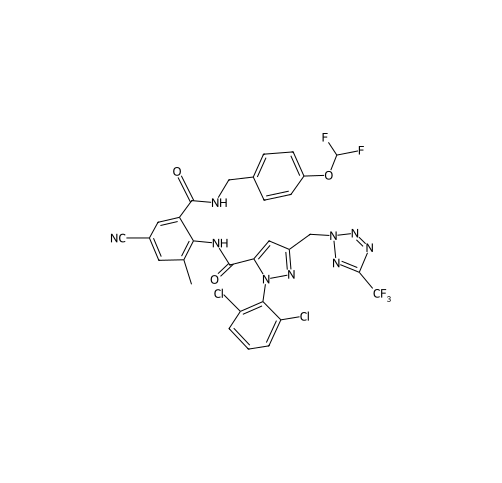 Cc1cc(C#N)cc(C(=O)NCc2ccc(OC(F)F)cc2)c1NC(=O)c1cc(Cn2nnc(C(F)(F)F)n2)nn1-c1c(Cl)cccc1Cl